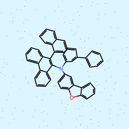 c1ccc(-c2cccc(N(c3ccc4oc5ccccc5c4c3)c3c(-c4cccc5ccccc45)c4ccccc4c4ccccc34)c2)cc1